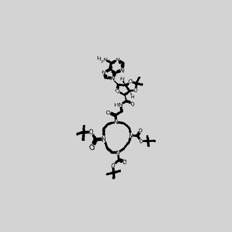 CC(C)(C)OC(=O)N1CCN(C(=O)CNC(=O)[C@H]2O[C@@H](n3cnc4c(N)ncnc43)[C@@H]3OC(C)(C)O[C@H]32)CCN(C(=O)OC(C)(C)C)CCN(C(=O)OC(C)(C)C)CC1